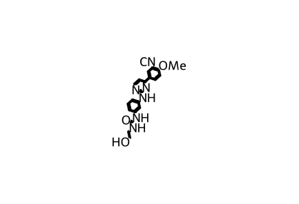 COc1ccc(-c2ccnc(Nc3cccc(NC(=O)NCCO)c3)n2)cc1C#N